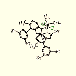 Cc1ccc2c(c1-c1cc(C(C)C)cc(C(C)C)c1)C=C(C(C)C)[CH]2[Zr]([Cl])([Cl])([CH]1C(C(C)C)=Cc2c1ccc(C)c2-c1cc(C(C)C)cc(C(C)C)c1)[SiH](C)C